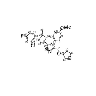 COc1ccc(-n2c(CO[C@H]3CCOC3)nnc2N2C[C@H](c3ccc(F)cc3Cl)[C@@H](C)C2)cn1